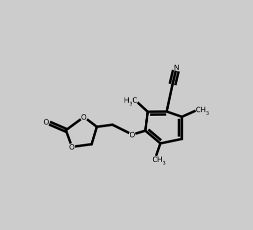 Cc1cc(C)c(OCC2COC(=O)O2)c(C)c1C#N